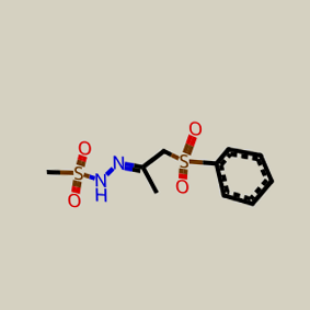 C/C(CS(=O)(=O)c1ccccc1)=N\NS(C)(=O)=O